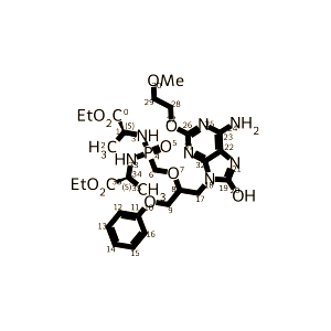 CCOC(=O)[C@H](C)NP(=O)(COC(COc1ccccc1)Cn1c(O)nc2c(N)nc(OCCOC)nc21)N[C@@H](C)C(=O)OCC